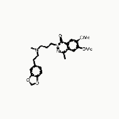 COc1cc2c(C)nn(CCCN(C)CCc3ccc4c(c3)OCO4)c(=O)c2cc1OC